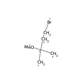 CBr.COC(C)(C)C